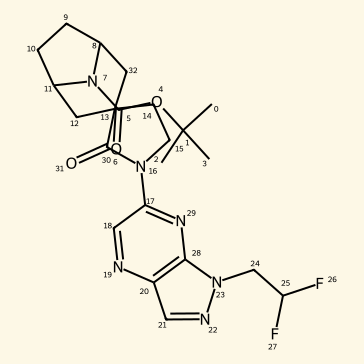 CC(C)(C)OC(=O)N1C2CCC1CC1(CCN(c3cnc4cnn(CC(F)F)c4n3)C1=O)C2